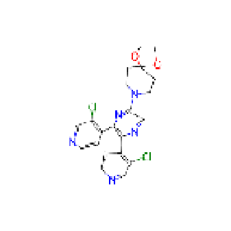 Clc1cnccc1-c1ncc(N2CCC3(CC2)OCCO3)nc1-c1ccncc1Cl